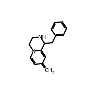 C=C1C=CN2CCNC(Cc3ccccc3)C2=C1